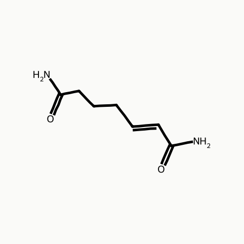 NC(=O)C=CCCCC(N)=O